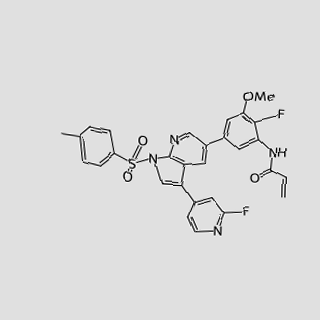 C=CC(=O)Nc1cc(-c2cnc3c(c2)c(-c2ccnc(F)c2)cn3S(=O)(=O)c2ccc(C)cc2)cc(OC)c1F